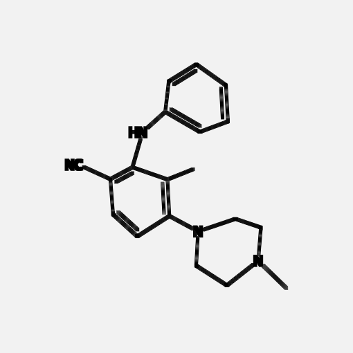 Cc1c(N2CCN(C)CC2)ccc(C#N)c1Nc1ccccc1